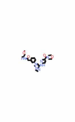 COCC(C)NC(=O)Cc1cccc(N2C=C(Nc3ccc(C(=O)N4CCOCC4)cn3)C3=NC=C[N+]3C2)c1